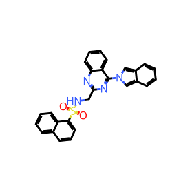 O=S(=O)(NCc1nc(-n2cc3ccccc3c2)c2ccccc2n1)c1cccc2ccccc12